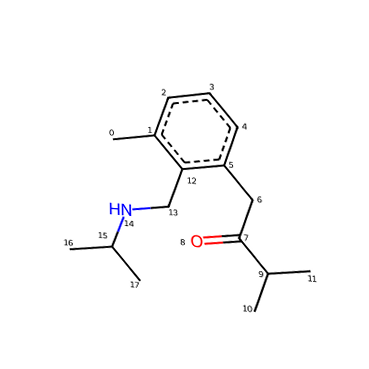 Cc1cccc(CC(=O)C(C)C)c1CNC(C)C